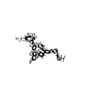 Cc1cc(C)n2ncc(C(=O)N[C@H]3CC[C@H](NC(=O)c4cc(F)cnc4Oc4cccc(-c5ccc(CN6CCCN(CCO)CC6)cc5CN5CCSCC5)c4)CC3)c2n1